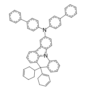 C1=CCCC(C2(C3CC=CCC3)c3ccccc3-n3c4ccc(N(c5ccc(-c6ccccc6)cc5)c5ccc(-c6ccccc6)cc5)cc4c4cccc2c43)=C1